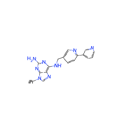 CC(C)n1cnc2c(NCc3ccc(-c4cccnc4)nc3)nc(N)nc21